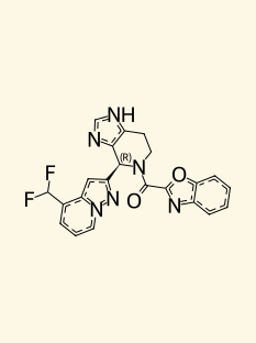 O=C(c1nc2ccccc2o1)N1CCc2[nH]cnc2[C@@H]1c1cc2c(C(F)F)cccn2n1